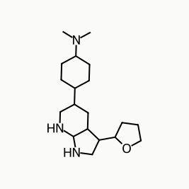 CN(C)C1CCC(C2CNC3NCC(C4CCCO4)C3C2)CC1